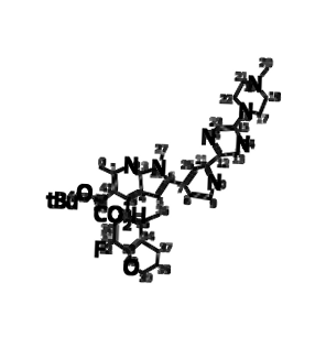 Cc1nc2c(cc(-c3ccnc(-c4cnc(N5CCN(C)CC5)cn4)c3)n2C)c(-c2cc(F)c3c(c2C)CCCO3)c1[C@H](OC(C)(C)C)C(=O)O